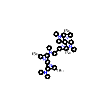 CC(C)(C)c1ccc2c(c1)c1cc(N(c3ccccc3)c3ccccc3)cc3c4cc5c(cc4n2c13)c1cc(N(c2ccccc2)c2cccc(-c3ccc4c(c3)c3c(C(C)(C)C)cc(N(c6ccccc6)c6ccccc6)c6c7cc8c(cc7n4c63)c3c(N(c4ccccc4)c4ccccc4)cc(C(C)(C)C)c4c6ccccc6n8c34)c2)cc2c3cc(C(C)(C)C)ccc3n5c21